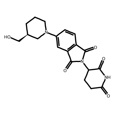 O=C1CCC(N2C(=O)c3ccc(N4CCC[C@H](CO)C4)cc3C2=O)C(=O)N1